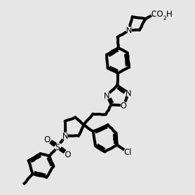 Cc1ccc(S(=O)(=O)N2CCC(CCc3nc(-c4ccc(CN5CC(C(=O)O)C5)cc4)no3)(c3ccc(Cl)cc3)C2)cc1